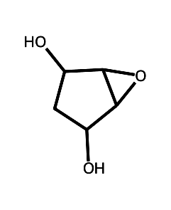 OC1CC(O)C2OC12